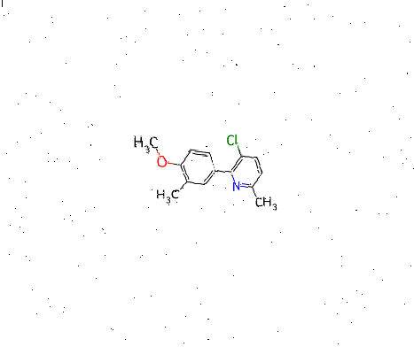 COc1ccc(-c2nc(C)ccc2Cl)cc1C